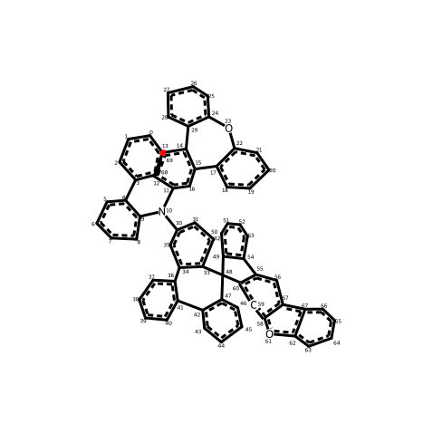 c1ccc(-c2ccccc2N(c2ccc3c(c2)-c2ccccc2Oc2ccccc2-3)c2ccc3c(c2)-c2ccccc2-c2ccccc2C32c3ccccc3-c3cc4c(cc32)oc2ccccc24)cc1